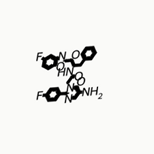 Nc1cnc(-c2ccc(F)cc2)n(CC(=O)NC(Cc2ccccc2)C(=O)c2nc3cc(F)ccc3o2)c1=O